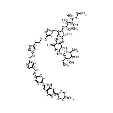 CO[C@H](OC1C(Cn2cc(CCCCc3cn(CCn4cc(COc5ccc(-c6nc7ccc(N8CCN(C)CC8)cc7[nH]6)cc5)nn4)nn3)nn2)OC(OC2C(O)[C@H](N)CC(N)[C@H]2O[C@H]2OC(CN)[C@@H](O)C(O)C2N)C1O)C(N)C(O)[C@H](O)CCN